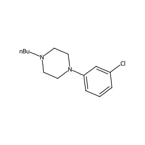 CCCCN1CCN(c2cccc(Cl)c2)CC1